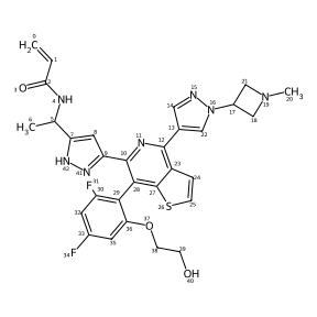 C=CC(=O)NC(C)c1cc(-c2nc(-c3cnn(C4CN(C)C4)c3)c3ccsc3c2-c2c(F)cc(F)cc2OCCO)n[nH]1